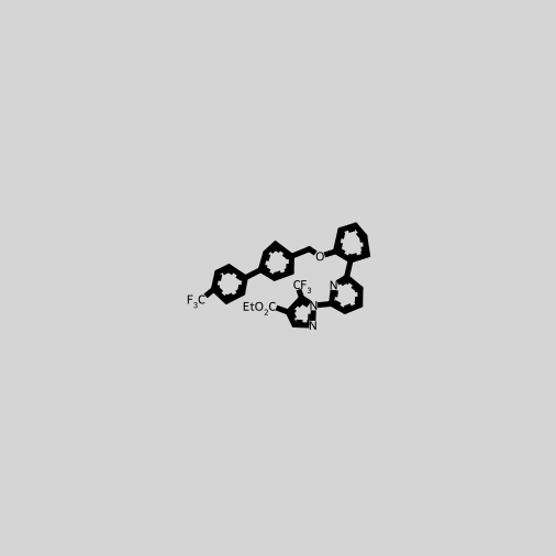 CCOC(=O)c1cnn(-c2cccc(-c3ccccc3OCc3ccc(-c4ccc(C(F)(F)F)cc4)cc3)n2)c1C(F)(F)F